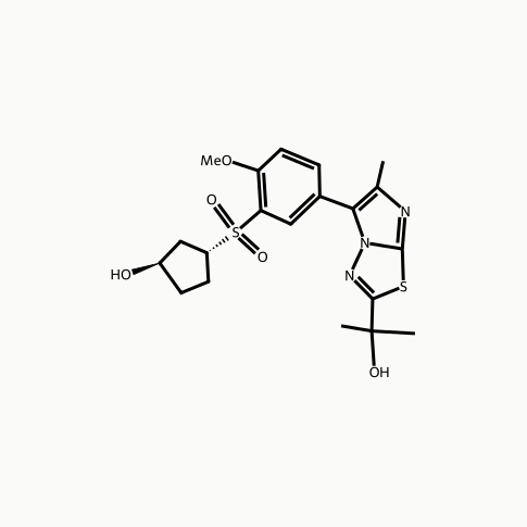 COc1ccc(-c2c(C)nc3sc(C(C)(C)O)nn23)cc1S(=O)(=O)[C@@H]1CC[C@@H](O)C1